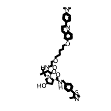 Cc1ncsc1-c1ccc(CNC(=O)[C@@H]2C[C@@H](O)CN2C(=O)C(NC(=O)COCCCCCOc2ccc3nc(-c4ccc(N(C)C)cc4)ccc3c2)C(C)(C)C)cc1